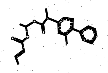 CC=CC(=O)OC(C)OC(=O)C(C)c1ccc(-c2ccccc2)c(F)c1